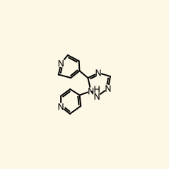 C1=NNN(c2ccncc2)C(c2ccncc2)=N1